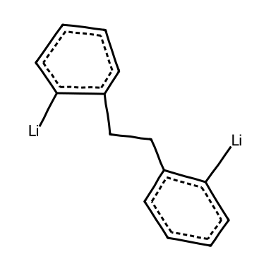 [Li][c]1ccccc1CCc1cccc[c]1[Li]